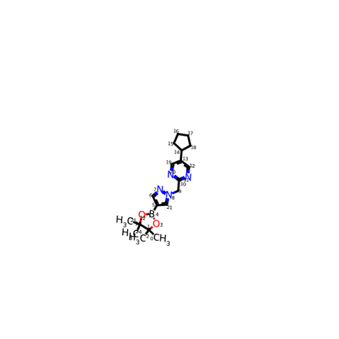 CC1(C)OB(c2cnn(Cc3ncc(C4CCCC4)cn3)c2)OC1(C)C